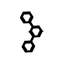 [c]1cc(-c2ccccc2)[c]c(-c2ccccc2)c1